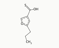 CCCc1cc(C(O)=S)co1